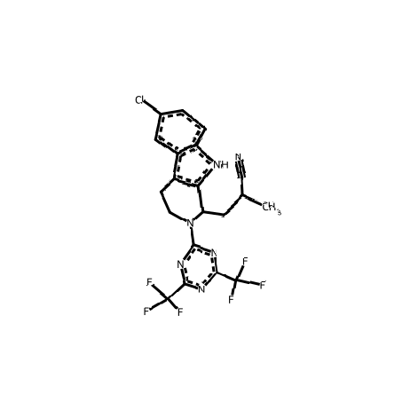 CC(C#N)CC1c2[nH]c3ccc(Cl)cc3c2CCN1c1nc(C(F)(F)F)nc(C(F)(F)F)n1